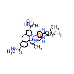 C=C(NC)c1ccc2c(c1)CCc1cc(C(=O)NC)ccc1C2(C[C@H](C)NCC(=O)NC(C#N)C[C@@H](C)CC)C(=N)Nc1ccc(C)cc1